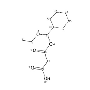 CCOC(OC(=O)CC(=O)O)C1CCCCC1